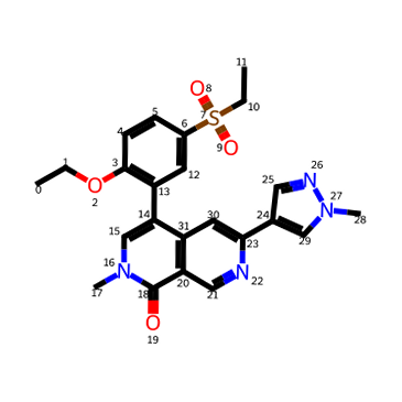 CCOc1ccc(S(=O)(=O)CC)cc1-c1cn(C)c(=O)c2cnc(-c3cnn(C)c3)cc12